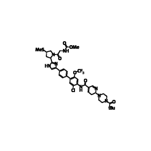 COC(=O)NCC(=O)N1CC(SC)CC1c1nc(-c2ccc(-c3cc(Cl)c(NC(=O)C4=CCC(N5CCN(C(=O)C(C)(C)C)CC5)N=C4)cc3OC(F)(F)F)cc2)c[nH]1